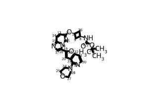 CC(C)(C)OC(=O)N[C@H]1C[C@H](Oc2ccc3ncc(-c4cc5c(N6CCOCC6)nccc5o4)n3n2)C1